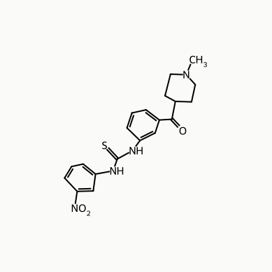 CN1CCC(C(=O)c2cccc(NC(=S)Nc3cccc([N+](=O)[O-])c3)c2)CC1